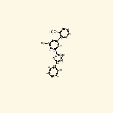 Cc1ccccc1-c1cc(F)cc(-n2nnc(-c3ccccn3)n2)c1